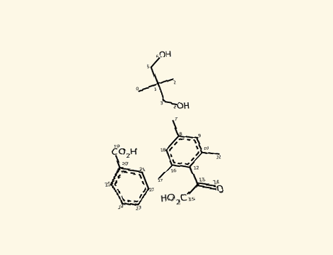 CC(C)(CO)CO.Cc1cc(C)c(C(=O)C(=O)O)c(C)c1.O=C(O)c1ccccc1